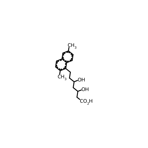 Cc1ccc2c(CCC(O)CC(O)CC(=O)O)c(C)ccc2c1